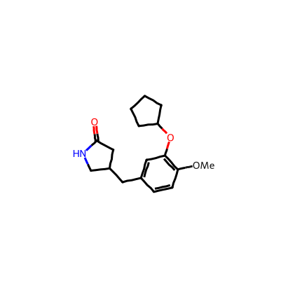 COc1ccc(CC2CNC(=O)C2)cc1OC1CCCC1